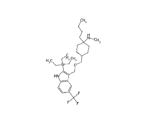 CCCCC1(NC)CCC(COCc2c([Si](CC)(CC)CC)[nH]c3ccc(C(F)(F)F)cc23)CC1